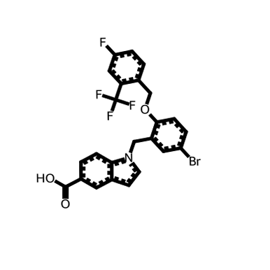 O=C(O)c1ccc2c(ccn2Cc2cc(Br)ccc2OCc2ccc(F)cc2C(F)(F)F)c1